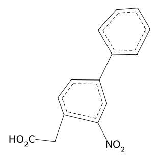 O=C(O)Cc1ccc(-c2ccccc2)cc1[N+](=O)[O-]